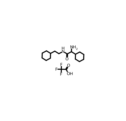 NC(C(=O)NCCC1CCCCC1)C1CCCCC1.O=C(O)C(F)(F)F